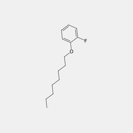 CCCCCCCCOc1ccccc1F